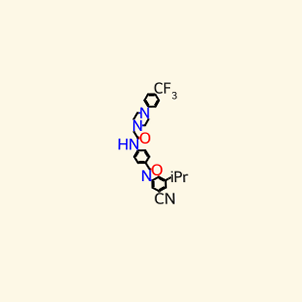 CC(C)c1cc(C#N)cc2nc(-c3ccc(NC(=O)CN4CCN(c5ccc(C(F)(F)F)cc5)CC4)cc3)oc12